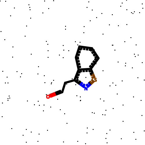 O=CCc1nsc2ccccc12